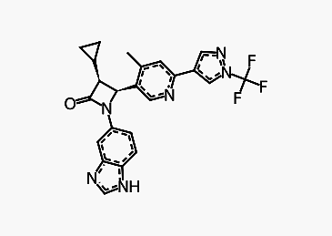 Cc1cc(-c2cnn(C(F)(F)F)c2)ncc1[C@@H]1[C@H](C2CC2)C(=O)N1c1ccc2[nH]cnc2c1